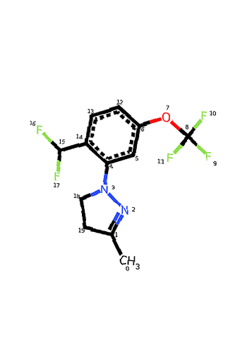 CC1=NN(c2cc(OC(F)(F)F)ccc2C(F)F)CC1